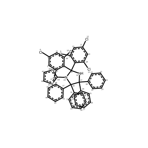 Clc1cc(Cl)c(C2(c3c(Cl)cc(Cl)cc3Cl)NC(c3ccccc3)(c3ccccc3)C(c3ccccc3)(c3ccccc3)N2c2ncc[nH]2)c(Cl)c1